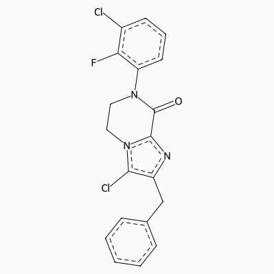 O=C1c2nc(Cc3ccccc3)c(Cl)n2CCN1c1cccc(Cl)c1F